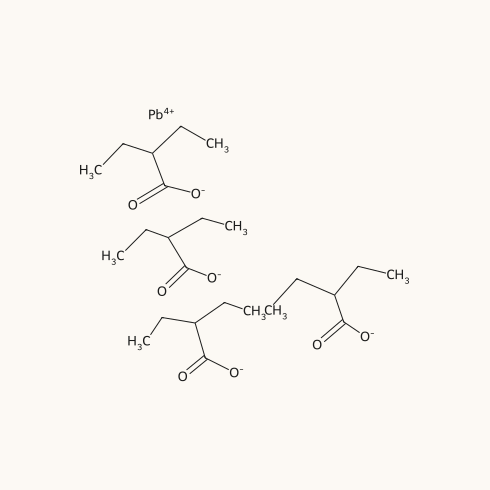 CCC(CC)C(=O)[O-].CCC(CC)C(=O)[O-].CCC(CC)C(=O)[O-].CCC(CC)C(=O)[O-].[Pb+4]